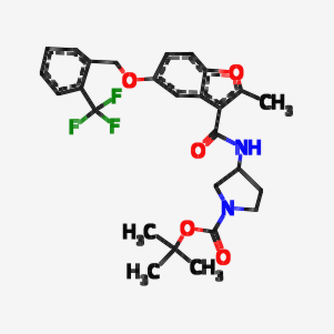 Cc1oc2ccc(OCc3ccccc3C(F)(F)F)cc2c1C(=O)NC1CCN(C(=O)OC(C)(C)C)C1